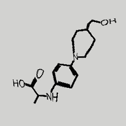 CC(Nc1ccc(N2CCC(CO)CC2)cc1)C(=O)O